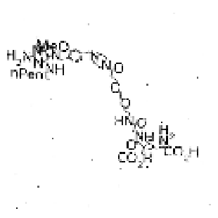 CCCCCNc1nc(N)nc2ccn(Cc3ccc(CN4CCN(C(=O)CCOCCOCCNC(=O)CNC(=O)C(CC(=O)O)SCC(N)C(=O)O)CC4)cc3OC)c12